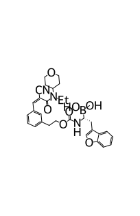 CCN(C(=O)C(C#N)=Cc1cccc(CCOC(=O)N[C@@H](Cc2coc3ccccc23)B(O)O)c1)C1CCOCC1